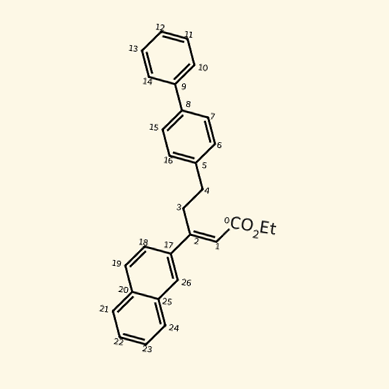 CCOC(=O)C=C(CCc1ccc(-c2ccccc2)cc1)c1ccc2ccccc2c1